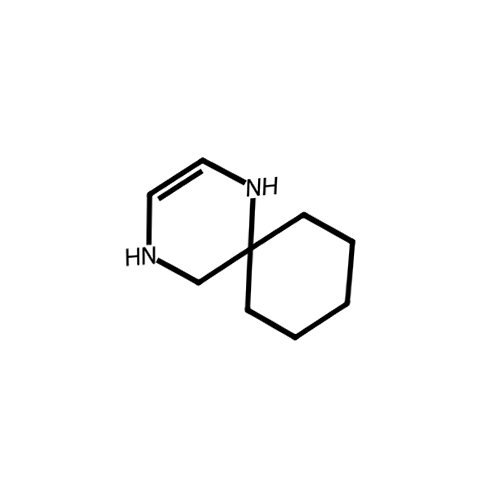 C1=CNC2(CCCCC2)CN1